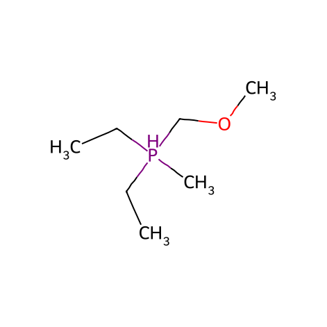 CC[PH](C)(CC)COC